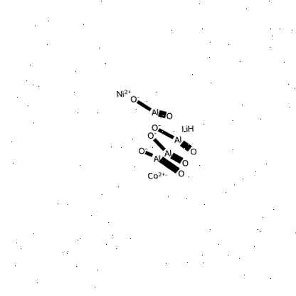 [Co+2].[LiH].[Ni+2].[O]=[Al][O-].[O]=[Al][O-].[O]=[Al][O-].[O]=[Al][O-]